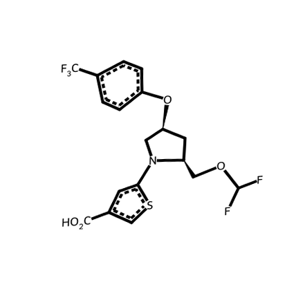 O=C(O)c1csc(N2C[C@@H](Oc3ccc(C(F)(F)F)cc3)C[C@H]2COC(F)F)c1